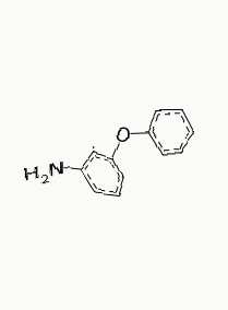 Nc1[c]c(Oc2ccccc2)ccc1